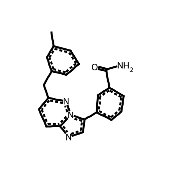 Cc1cccc(Cc2ccc3ncc(-c4cccc(C(N)=O)c4)n3n2)c1